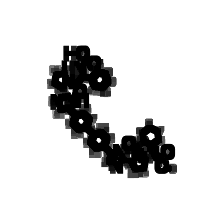 COC(=O)N[C@@H]1CCCC[C@@H]1C(=O)N1CCC[C@H]1c1ncc(-c2ccc(-c3ccc(-c4cnc([C@@H]5CCCN5C(=O)[C@H](NC(=O)O)c5ccccc5)[nH]4)cc3)cc2)[nH]1